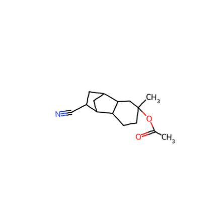 CC(=O)OC1(C)CCC2C3CC(CC3C#N)C2C1